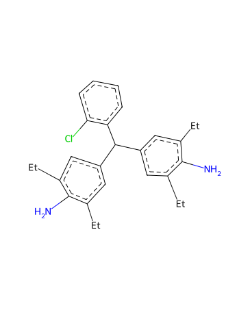 CCc1cc(C(c2cc(CC)c(N)c(CC)c2)c2ccccc2Cl)cc(CC)c1N